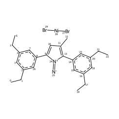 CCc1cc(CC)cc(C2=CC(C)=C(c3cc(CC)cc(CC)c3)[N+]2=[N-])c1.[Br][Ni][Br]